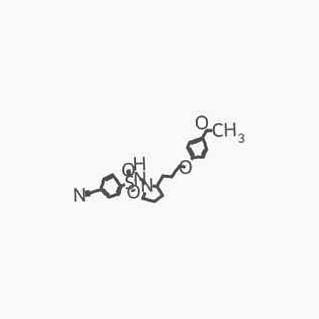 CC(=O)c1ccc(OCCCC2CCCN2NS(=O)(=O)c2ccc(C#N)cc2)cc1